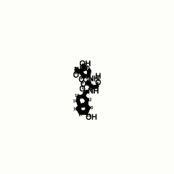 CC(C)CC(NC(=O)C(CO)NC(=O)C1CCc2ccc(O)cc2C1)C(=O)C1(CO)CO1